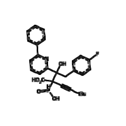 CC(C)(C)C#CC(C(=O)O)([PH](=O)O)C(O)(Cc1ccc(F)cc1)c1cccc(-c2ccccc2)n1